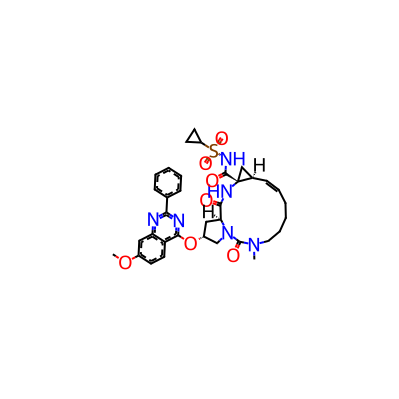 COc1ccc2c(O[C@@H]3C[C@H]4C(=O)N[C@]5(C(=O)NS(=O)(=O)C6CC6)C[C@H]5/C=C\CCCCN(C)C(=O)N4C3)nc(-c3ccccc3)nc2c1